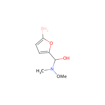 Bc1ccc(C(O)N(C)OC)o1